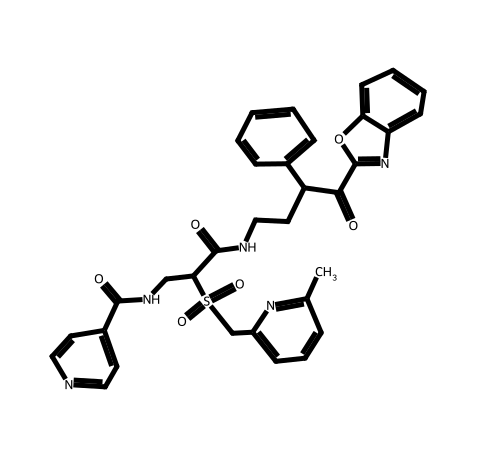 Cc1cccc(CS(=O)(=O)C(CNC(=O)c2ccncc2)C(=O)NCCC(C(=O)c2nc3ccccc3o2)c2ccccc2)n1